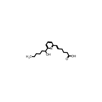 CCCCCC(O)c1cccc(C=CCCCC(=O)O)n1